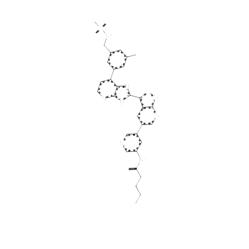 CCCCC(=O)Nc1cncc(-c2cnc3[nH]nc(-c4nc5c(-c6cc(F)cc(CNS(C)(=O)=O)c6)ccnc5[nH]4)c3c2)c1